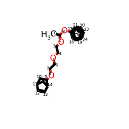 CC(OCCOCCOC1CC2C=CC1C2)O[C]12[CH]3[CH]4[CH]5[CH]1[Fe]45321678[CH]2[CH]1[CH]6[CH]7[CH]28